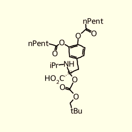 CCCCCC(=O)Oc1ccc(C[C@](NC(C)C)(OC(=O)OCC(C)(C)C)C(=O)O)cc1OC(=O)CCCCC